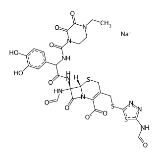 CCN1CCN(C(=O)NC(C(=O)N[C@]2(NC=O)C(=O)N3C(C(=O)[O-])=C(CSc4nnc(NC=O)s4)CS[C@H]32)c2ccc(O)c(O)c2)C(=O)C1=O.[Na+]